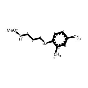 CONCCCOc1ccc(C)cc1C